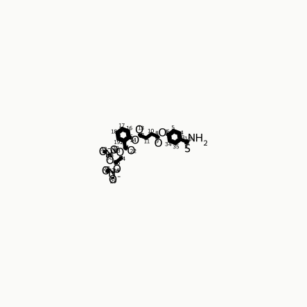 NC(=S)c1ccc(OC(=O)CCC(=O)Oc2ccccc2C(=O)OCC(O[N+](=O)[O-])O[N+](=O)[O-])cc1